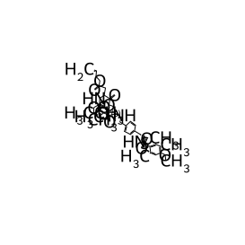 C=CCOC(=O)CC(NC(=O)OC(C)(C)C)C(=O)OC[C@H](NCc1ccc(CNS(=O)(=O)c2c(C)cc(OC)c(C)c2C)cc1)C(=O)OC